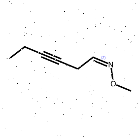 [CH2]CC#CC/C=N\OC